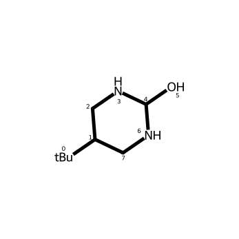 CC(C)(C)C1CNC(O)NC1